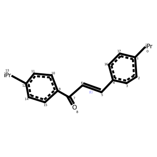 CC(C)c1ccc(/C=C/C(=O)c2ccc(C(C)C)cc2)cc1